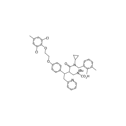 Cc1cc(Cl)c(OCCOc2ccc(C(Cc3ccccn3)C(CN(C(=O)O)C(C)(C)C)C(=O)N(Cc3cccc(C)c3C)C3CC3)cc2)c(Cl)c1